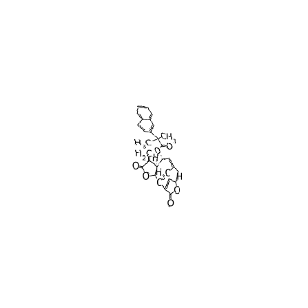 C=C1C(=O)OC2CC3=C[C@@H](C/C(C)=C/[C@@H](OC(=O)C(C)(C)c4ccc5ccccc5c4)[C@H]12)OC3=O